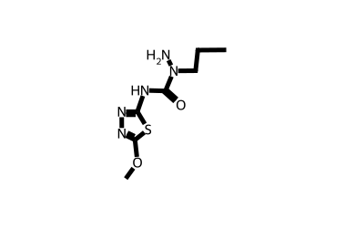 CCCN(N)C(=O)Nc1nnc(OC)s1